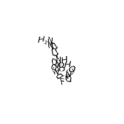 Nc1ccc2cc(NC(=O)[C@H](O)[C@H]3OCCN(c4ccc(F)c(C(=O)N5CCOCC5)c4)C3=O)ccc2n1